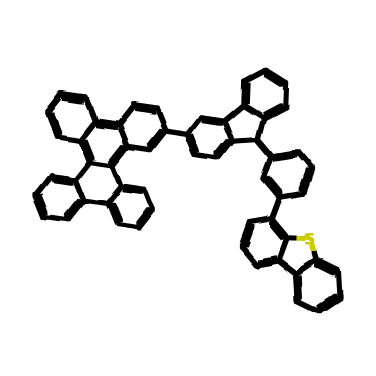 c1cc(-c2cccc3c2sc2ccccc23)cc(C2c3ccccc3-c3cc(-c4ccc5c6ccccc6c6c7ccccc7c7ccccc7c6c5c4)ccc32)c1